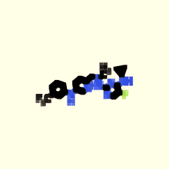 CN(Cc1ccc(Nc2cccc(C(F)(F)F)c2)cn1)Nc1ncc(F)c(NC2CC2)n1